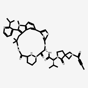 CC#CC(=O)N1CC2(CCN([C@H](C(=O)N[C@H]3Cc4nc(cs4)-c4ccc5c(c4)c(c(-c4cccnc4C(C)C)n5C)CC(C)(C)COC(=O)[C@@H]4CCCN(N4)C3=O)C(C)C)C2=O)C1